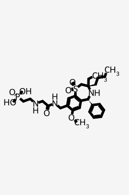 CCCC[C@]1(CC)CS(=O)(=O)c2cc(CNC(=O)CNCCP(=O)(O)O)c(OC)cc2[C@@H](c2ccccc2)N1